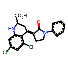 O=C(O)C1CC(=C2CCN(c3ccccc3)C2=O)c2c(Cl)cc(Cl)cc2N1